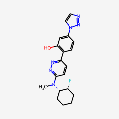 CN(c1ccc(-c2ccc(-n3ccnn3)cc2O)nn1)[C@H]1CCCC[C@H]1F